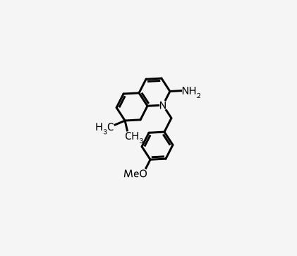 COc1ccc(CN2C3=C(C=CC2N)C=CC(C)(C)C3)cc1